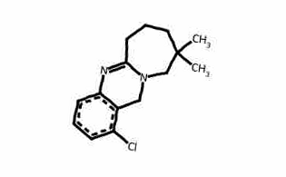 CC1(C)CCCC2=Nc3cccc(Cl)c3CN2C1